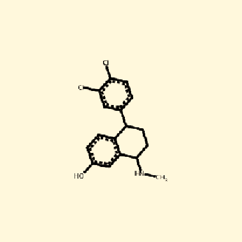 CNC1CCC(c2ccc(Cl)c(Cl)c2)c2ccc(O)cc21